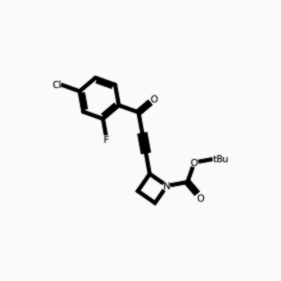 CC(C)(C)OC(=O)N1CCC1C#CC(=O)c1ccc(Cl)cc1F